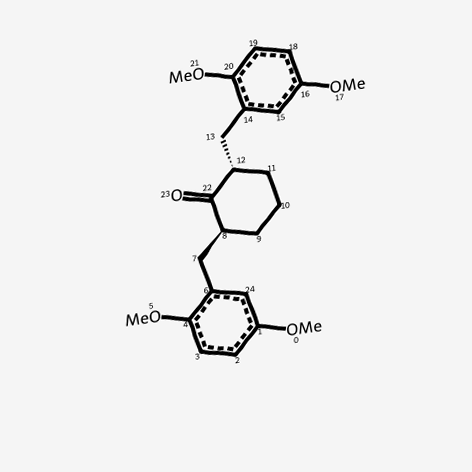 COc1ccc(OC)c(C[C@@H]2CCC[C@@H](Cc3cc(OC)ccc3OC)C2=O)c1